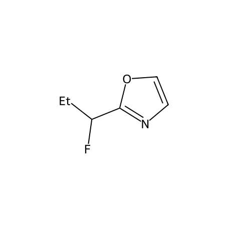 CCC(F)c1ncco1